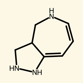 C1=CNCC2CNNC2=C1